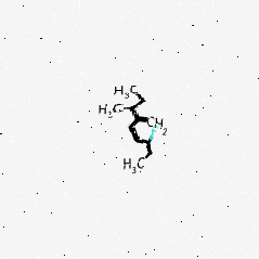 C=C(/C=C\C(F)=C/C)[C@@H](C)CC